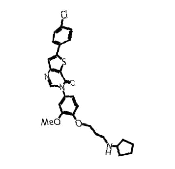 COc1cc(-n2cnc3cc(-c4ccc(Cl)cc4)sc3c2=O)ccc1OCCCNC1CCCC1